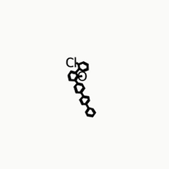 ClC1C=CC=C2Oc3c(-c4ccc(-c5ccc(-c6ccccc6)cc5)cc4)cccc3C21